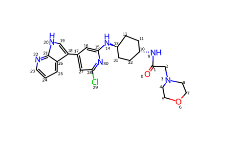 O=C(CN1CCOCC1)N[C@H]1CC[C@H](Nc2cc(-c3c[nH]c4ncccc34)cc(Cl)n2)CC1